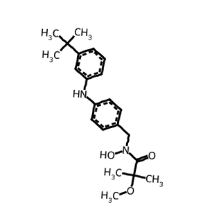 COC(C)(C)C(=O)N(O)Cc1ccc(Nc2cccc(C(C)(C)C)c2)cc1